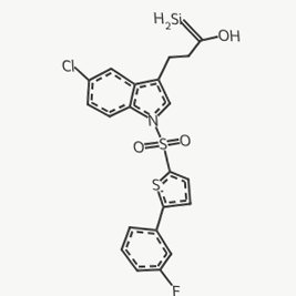 O=S(=O)(c1ccc(-c2cccc(F)c2)s1)n1cc(CCC(O)=[SiH2])c2cc(Cl)ccc21